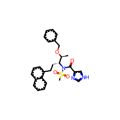 C[C@H](OCc1ccccc1)[C@@H](CCc1cccc2ccccc12)N(C(=O)c1c[nH]cn1)S(C)(=O)=O